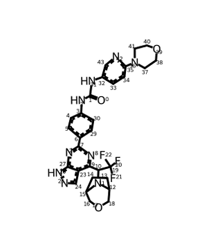 O=C(Nc1ccc(-c2nc(C(N3C4CCC3COC4)C(F)(F)F)c3cn[nH]c3n2)cc1)Nc1ccc(N2CCOCC2)nc1